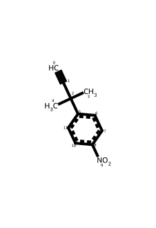 C#CC(C)(C)c1ccc([N+](=O)[O-])cc1